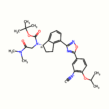 [C-]#[N+]c1cc(-c2nc(-c3cccc4c3CC[C@@H]4N(CC(=O)N(C)C)C(=O)OC(C)(C)C)no2)ccc1OC(C)C